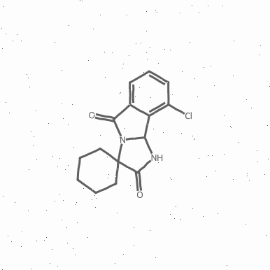 O=C1c2cccc(Cl)c2C2NC(=O)C3(CCCCC3)N12